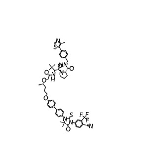 Cc1ncsc1-c1ccc(CNC(=O)[C@@H]2CCCN2C(=O)C(NC(=O)CO[C@H](C)CCCOc2ccc(-c3ccc(N4C(=S)N(c5ccc(C#N)c(C(F)(F)F)c5)C(=O)C4(C)C)cc3)cc2)C(C)(C)C)cc1